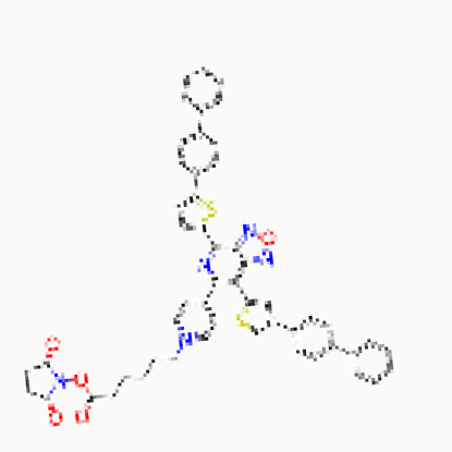 O=C(CCCCC[n+]1ccc(-c2nc(-c3ccc(-c4ccc(-c5ccccc5)cc4)s3)c3nonc3c2-c2cc(-c3ccc(-c4ccccc4)cc3)cs2)cc1)ON1C(=O)CCC1=O